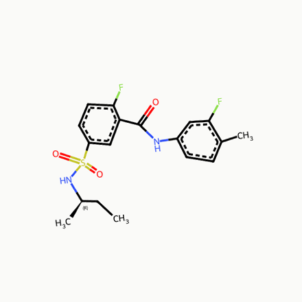 CC[C@@H](C)NS(=O)(=O)c1ccc(F)c(C(=O)Nc2ccc(C)c(F)c2)c1